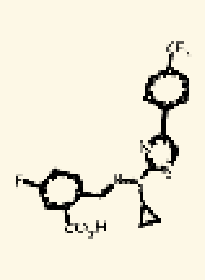 O=C(O)c1cc(F)ccc1C=NN(c1nc(-c2ccc(C(F)(F)F)cc2)cs1)C1CC1